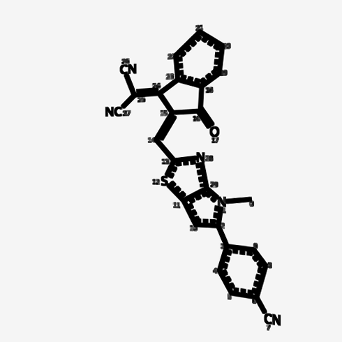 Cn1c(-c2ccc(C#N)cc2)cc2sc(/C=C3\C(=O)c4ccccc4C3=C(C#N)C#N)nc21